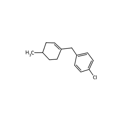 CC1CC=C(Cc2ccc(Cl)cc2)CC1